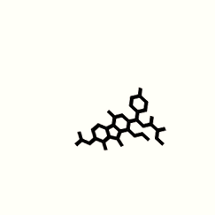 CCCC1C(C(CC(C)C(C)CC)C2CCC(C)CC2)CC(C)C2C3CCC(CC(C)C)C(C)C3C(C)C12